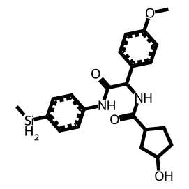 COc1ccc(C(NC(=O)C2CCC(O)C2)C(=O)Nc2ccc([SiH2]C)cc2)cc1